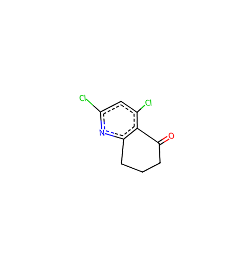 O=C1CCCc2nc(Cl)cc(Cl)c21